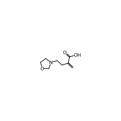 C=C(CCN1CCOC1)C(=O)O